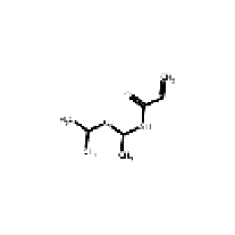 C=CC(=O)NC(C)OC(C)C